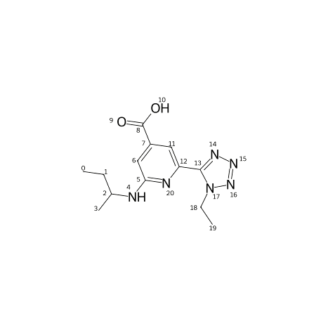 CCC(C)Nc1cc(C(=O)O)cc(-c2nnnn2CC)n1